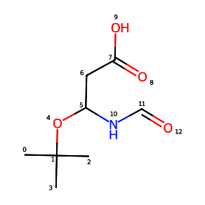 CC(C)(C)OC(CC(=O)O)NC=O